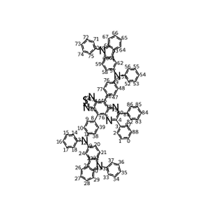 c1ccc(-c2nc3c(-c4ccc(N(c5ccccc5)c5ccc6c(c5)c5ccccc5n6-c5ccccc5)cc4)c4nsnc4c(-c4ccc(N(c5ccccc5)c5ccc6c(c5)c5ccccc5n6-c5ccccc5)cc4)c3nc2-c2ccccc2)cc1